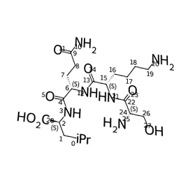 CC(C)C[C@H](NC(=O)[C@H](CCC(N)=O)NC(=O)[C@H](CCCCN)NC(=O)[C@@H](N)CO)C(=O)O